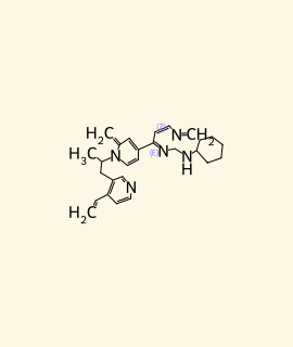 C=Cc1ccncc1CC(C)N1C=CC(C(/C=C\N=C)=N/CNC2CCCCC2)=CC1=C